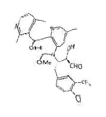 COCN(c1cc(C)cnc1C(O)c1c(C)ccnc1C)[C@@H](Cc1ccc(Cl)c(C(F)(F)F)c1)[C@@H](O)C=O